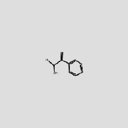 C=C(c1ccccc1)C(CC)CCC